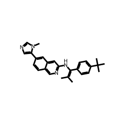 CC(C)=C(Nc1cc2cc(-c3cncn3C)ccc2cn1)c1ccc(C(C)(C)C)cc1